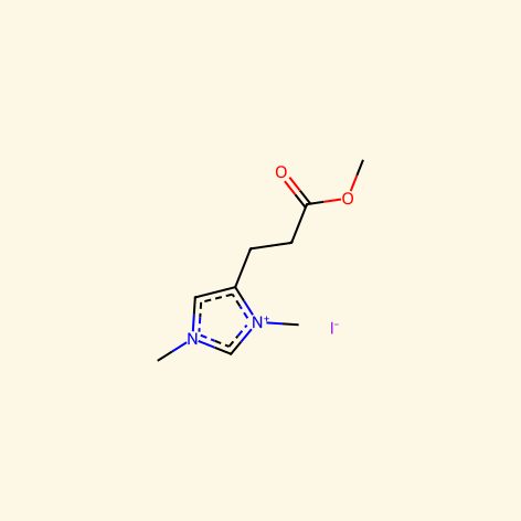 COC(=O)CCc1cn(C)c[n+]1C.[I-]